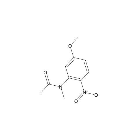 COc1ccc([N+](=O)[O-])c(N(C)C(C)=O)c1